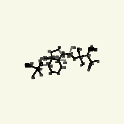 C=C(C)C(OC(C)=O)C(F)(F)C[C@@H](C)[C@H]1CC[C@H]2[C@@H](O[Si](C)(C)C(C)(C)C)CCC[C@]12C